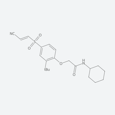 CC(C)(C)c1cc(S(=O)(=O)/C=C/C#N)ccc1OCC(=O)NC1CCCCC1